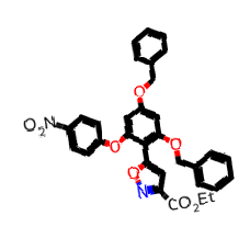 CCOC(=O)c1cc(-c2c(OCc3ccccc3)cc(OCc3ccccc3)cc2Oc2ccc([N+](=O)[O-])cc2)on1